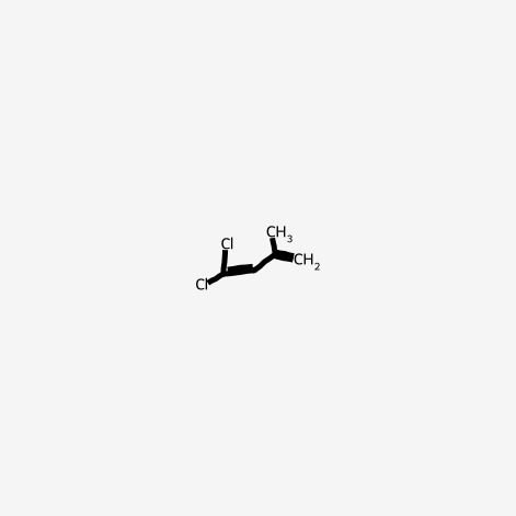 C=C(C)C=C(Cl)Cl